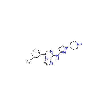 Cc1cccc(-c2cnc(Nc3ccn(C4CCNCC4)n3)c3nccn23)c1